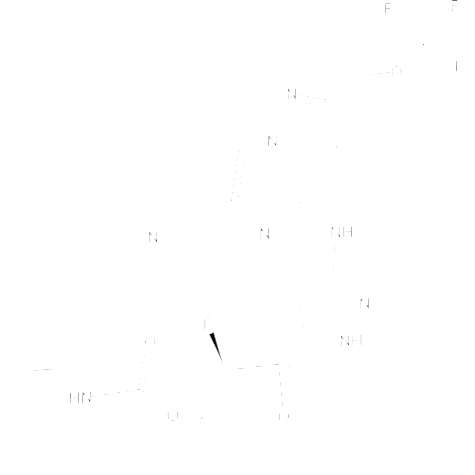 CC(C)NC(=O)O[C@H]1CO[C@@H](c2cc(Nc3nc(C#N)cn4nc(COC(F)(F)F)cc34)n[nH]2)[C@@H]1F